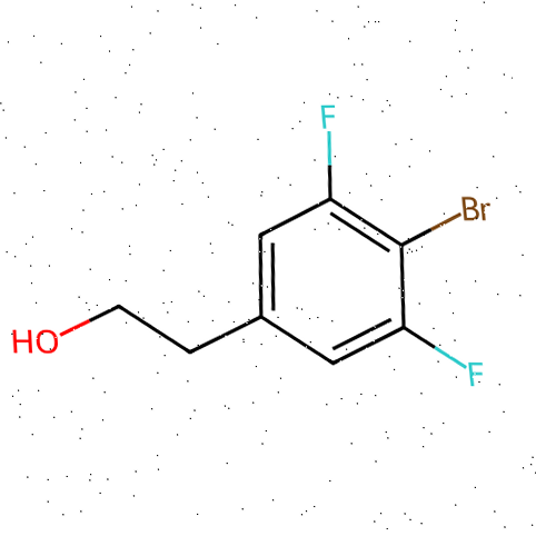 OCCc1cc(F)c(Br)c(F)c1